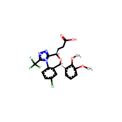 COc1cccc([C@H]2O[C@H](CCC(=O)O)c3nnc(C(F)(F)F)n3-c3ccc(Cl)cc32)c1OC